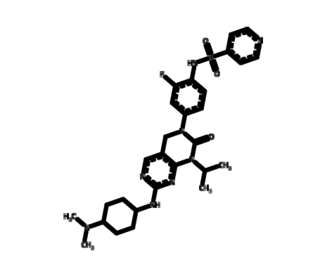 CC(C)N1C(=O)N(c2ccc(NS(=O)(=O)c3ccncc3)c(F)c2)Cc2cnc(NC3CCC(N(C)C)CC3)nc21